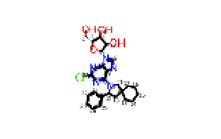 OC[C@H]1O[C@@H](n2cnc3c(N4CC5(CCCCC5)CC4c4ccccc4)nc(Cl)nc32)C(O)C1O